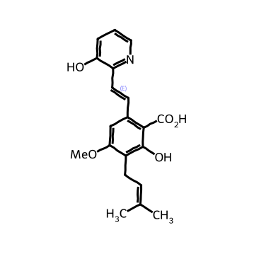 COc1cc(/C=C/c2ncccc2O)c(C(=O)O)c(O)c1CC=C(C)C